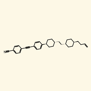 C=CCC[C@H]1CC[C@H](CC[C@H]2CC[C@H](c3ccc(C#Cc4ccc(C#N)cc4)cc3)CC2)CC1